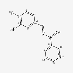 O=C(/C=C/c1ccc(F)c(F)c1)c1cccnc1